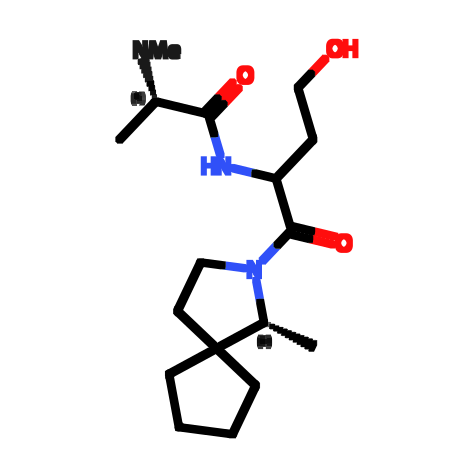 CN[C@@H](C)C(=O)NC(CCO)C(=O)N1CCC2(CCCC2)[C@H]1C